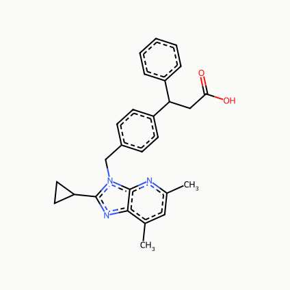 Cc1cc(C)c2nc(C3CC3)n(Cc3ccc(C(CC(=O)O)c4ccccc4)cc3)c2n1